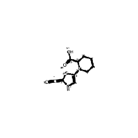 O=C=C1NC=C(N2CCCCC2C(=O)O)S1